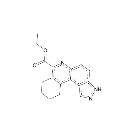 CCOC(=O)c1nc2ccc3[nH]ncc3c2c2c1CCCC2